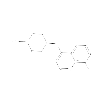 CC(C)(C)N1CCC(Oc2ccnc3c(C(F)(F)F)cccc23)CC1